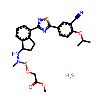 COC(=O)COSN(C)NC1CCc2c(-c3nsc(-c4ccc(OC(C)C)c(C#N)c4)n3)cccc21.S